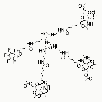 CC(=O)NC1C(OCCCCCC(=O)NCCCNCC(O)C(CCCCNC(=O)CCCC(=O)Oc2c(F)c(F)c(F)c(F)c2F)N(CC(=O)NCCCNC(=O)CCCCCOC2OC(COC(C)=O)C(OC(C)=O)C(OC(C)=O)C2NC(C)=O)CC(=O)NCCCNC(=O)CCCCCOC2OC(COC(C)=O)C(OC(C)=O)C(OC(C)=O)C2NC(C)=O)OC(COC(C)=O)C(OC(C)=O)C1OC(C)=O